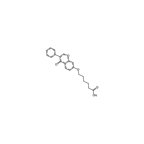 O=C(O)CCCCCOc1ccc2c(=O)c(-c3ccccc3)coc2c1